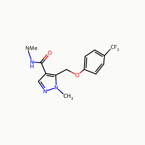 CNNC(=O)c1cnn(C)c1COc1ccc(C(F)(F)F)cc1